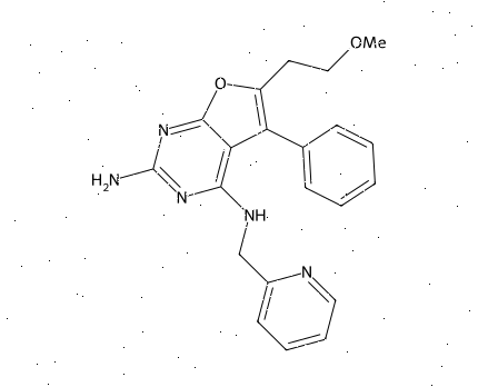 COCCc1oc2nc(N)nc(NCc3ccccn3)c2c1-c1ccccc1